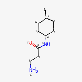 C[C@H]1CC[C@H](NC(=O)CCN)CC1